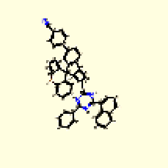 N#Cc1ccc(-c2ccc3c(c2)C2(c4ccccc4Sc4ccccc42)c2cc(-c4nc(-c5ccccc5)nc(-c5cccc6ccccc56)n4)ccc2-3)cc1